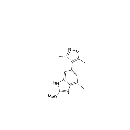 COc1nc2c(C)cc(-c3c(C)noc3C)cc2[nH]1